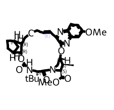 COC(=O)[C@@H]1[C@H](C)[C@@H]2CN1C(=O)[C@H](C(C)(C)C)NC(=O)O[C@@H]1[C@H]3CC[C@H](C3)[C@H]1CCC/C=C/c1nc3ccc(OC)cc3nc1O2